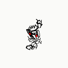 Cc1cncc(N[C@H](CC2CC2)C(=O)N2[C@@H]3CC[C@H]([C@H]2C(=O)N[C@H](C#N)C[C@H]2CCCNC2=O)C(F)(F)C3)c1